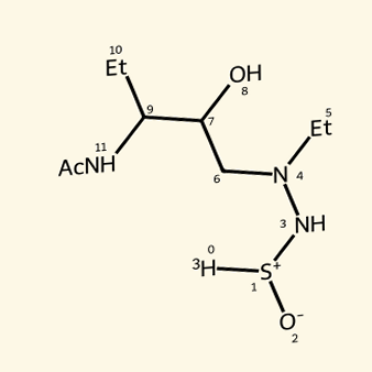 [3H][S+]([O-])NN(CC)CC(O)C(CC)NC(C)=O